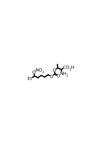 CCC(CCCCOC(=O)OC(C)C(N)C(=O)O)O[N+](=O)[O-]